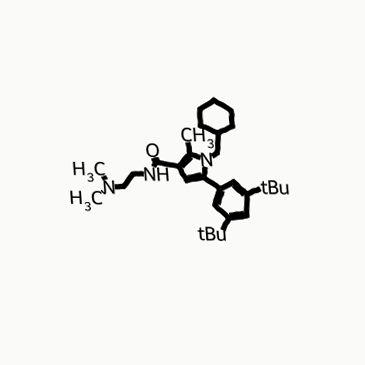 Cc1c(C(=O)NCCN(C)C)cc(-c2cc(C(C)(C)C)cc(C(C)(C)C)c2)n1CC1CCCCC1